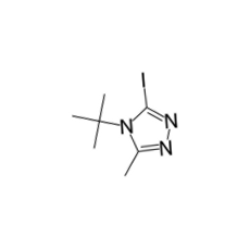 Cc1nnc(I)n1C(C)(C)C